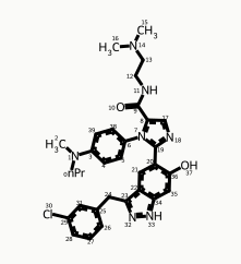 CCCN(C)c1ccc(-n2c(C(=O)NCCN(C)C)cnc2-c2cc3c(Cc4cccc(Cl)c4)n[nH]c3cc2O)cc1